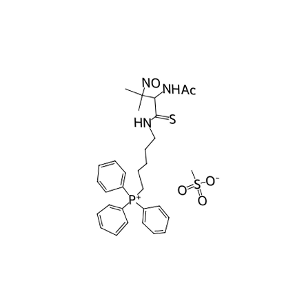 CC(=O)NC(C(=S)NCCCCC[P+](c1ccccc1)(c1ccccc1)c1ccccc1)C(C)(C)N=O.CS(=O)(=O)[O-]